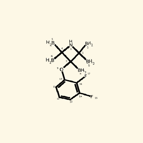 BC1(B)NC(B)(B)C1(B)Oc1cccc(F)c1F